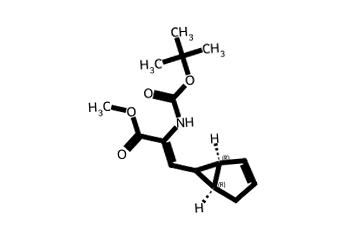 COC(=O)C(=CC1[C@H]2C=CC[C@@H]12)NC(=O)OC(C)(C)C